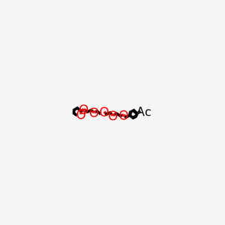 CC(=O)c1ccc(COCCOCCOCCOCCOC2CCCCO2)cc1